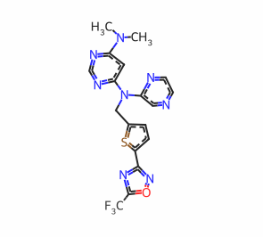 CN(C)c1cc(N(Cc2ccc(-c3noc(C(F)(F)F)n3)s2)c2cnccn2)ncn1